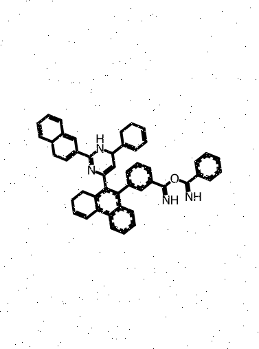 N=C(OC(=N)c1cccc(-c2c(C3=CC(C4=CC=CCC4)NC(C4=CCC5C=CC=CC5=C4)=N3)c3c(c4ccccc24)C=CCC3)c1)c1ccccc1